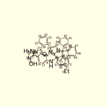 CCc1cccc(C(Nc2ccc(/C(N)=N\O)cc2)c2nc(-c3ccccc3C(N)=O)cn2C(c2ccccc2)(c2ccccc2)c2ccccc2)c1